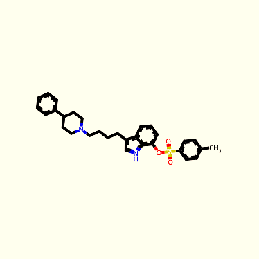 Cc1ccc(S(=O)(=O)Oc2cccc3c(CCCCN4CCC(c5ccccc5)CC4)c[nH]c23)cc1